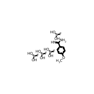 COc1ccc(C(=N)N)cc1.OB(O)F.OB(O)F.OB(O)F.OB(O)F